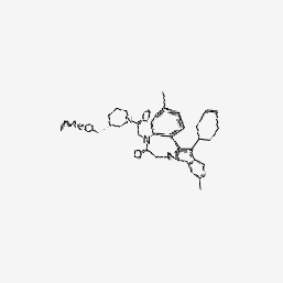 COC[C@@H]1CCCN(C(=O)CN2C(=O)Cn3c(c(C4CCCCC4)c4ccc(C)cc43)-c3ccc(C)cc32)C1